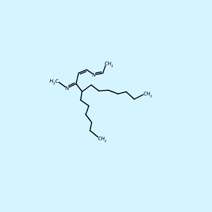 C\C=N/C=C\C(=N/C)C(CCCCCC)CCCCCCC